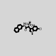 Cn1cc(C(C(=O)Nc2ccc3ccccc3c2)P(=O)(O)O)c2ccc(Cl)cc21